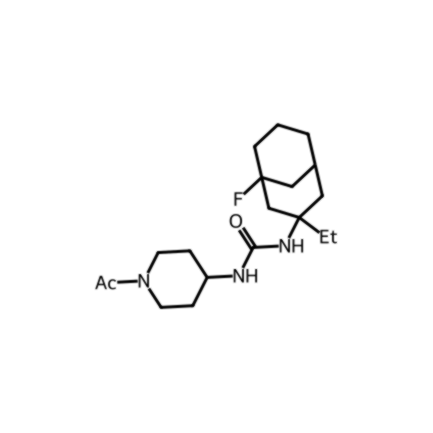 CCC1(NC(=O)NC2CCN(C(C)=O)CC2)CC2CCCC(F)(C2)C1